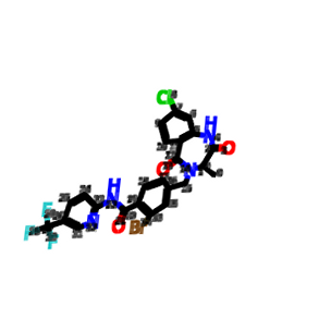 C[C@@H]1C(=O)Nc2cc(Cl)ccc2C(=O)N1Cc1ccc(C(=O)Nc2ccc(C(F)(F)F)cn2)c(Br)c1